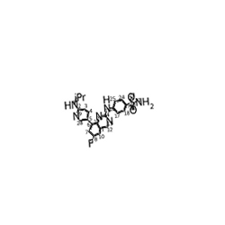 CC(C)Nc1ccc(-c2cc(F)cc3cnc(Nc4ccc(S(N)(=O)=O)cc4)nc23)cn1